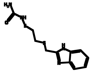 NC(=O)NSCCSCc1nc2ccccc2[nH]1